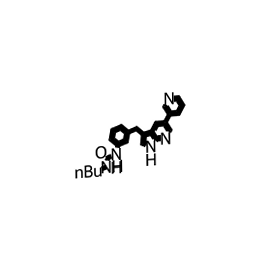 CCCCNC(=O)Nc1cccc(Cc2c[nH]c3ncc(-c4cccnc4)cc23)c1